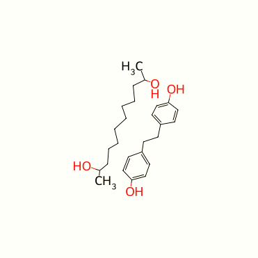 CC(O)CCCCCCCCC(C)O.Oc1ccc(CCc2ccc(O)cc2)cc1